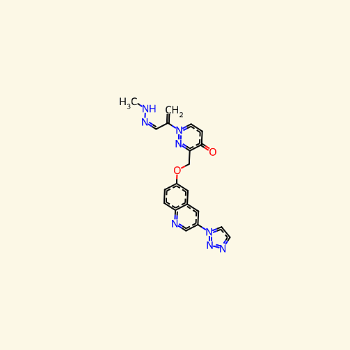 C=C(/C=N\NC)n1ccc(=O)c(COc2ccc3ncc(-n4ccnn4)cc3c2)n1